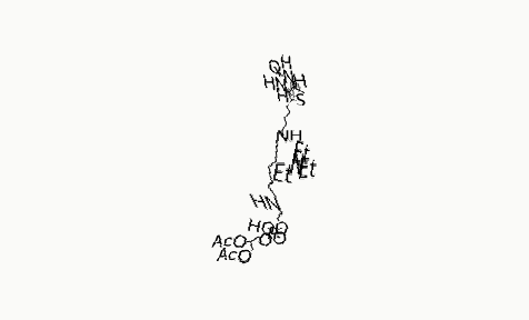 CC(=O)OCC(COP(=O)(O)OCCNCCCCCCNCCCCCC1SC[C@@H]2NC(=O)N[C@H]12)OC(C)=O.CCN(CC)CC